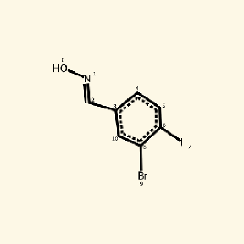 ON=Cc1ccc(I)c(Br)c1